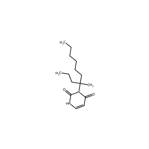 CCCCCCC(C)(CCC)n1c(=O)cc[nH]c1=O